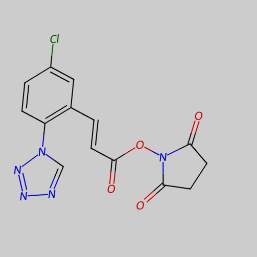 O=C(/C=C/c1cc(Cl)ccc1-n1cnnn1)ON1C(=O)CCC1=O